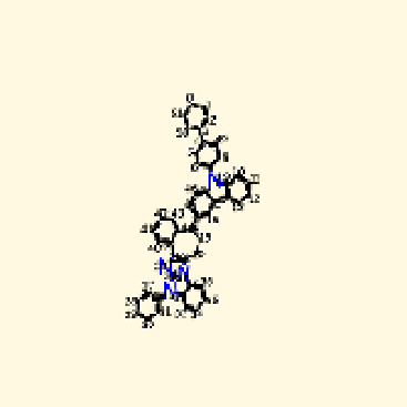 c1ccc(-c2ccc(-n3c4ccccc4c4cc(C5CCc6c(nc7n(-c8ccccc8)c8ccccc8n67)-c6ccccc65)ccc43)cc2)cc1